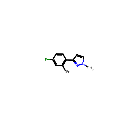 CC(C)c1cc(F)ccc1-c1ccn(C)n1